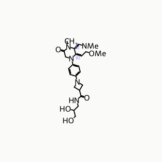 CN/C=C1\C(=C/COC)N(c2ccc(N3CC(C(=O)NCC(O)CO)C3)cc2)CC(=O)N1C